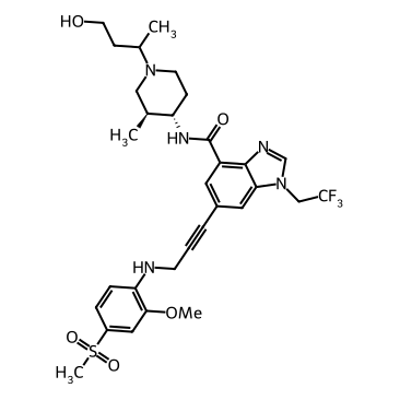 COc1cc(S(C)(=O)=O)ccc1NCC#Cc1cc(C(=O)N[C@H]2CCN(C(C)CCO)C[C@@H]2C)c2ncn(CC(F)(F)F)c2c1